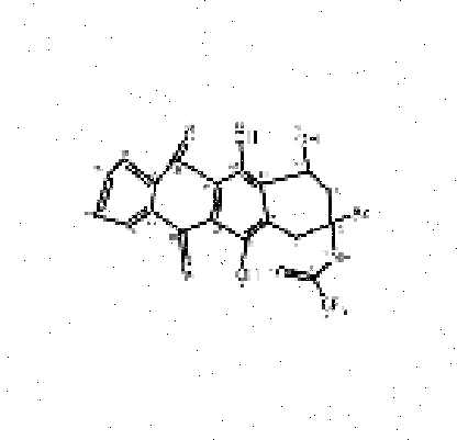 CC(=O)C1(NC(=O)C(F)(F)F)Cc2c(O)c3c(c(O)c2C(O)C1)C(=O)c1ccccc1C3=O